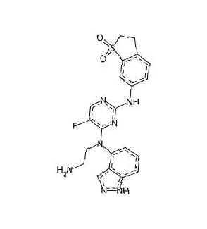 NCCN(c1nc(Nc2ccc3c(c2)S(=O)(=O)CC3)ncc1F)c1cccc2[nH]ncc12